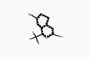 Nc1cc2ccc(Br)cc2c(C(F)(F)F)n1